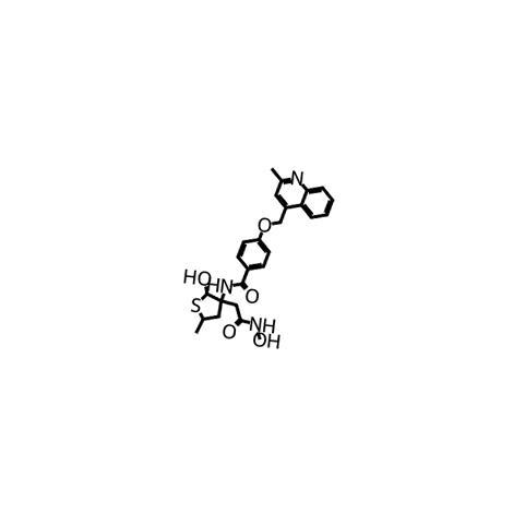 Cc1cc(COc2ccc(C(=O)NC3(CC(=O)NO)CC(C)SC3O)cc2)c2ccccc2n1